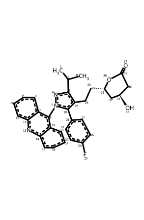 CC(C)c1nn(-c2c3ccccc3nc3ccccc23)c(-c2ccc(F)cc2)c1CC[C@H]1C[C@H](O)CC(=O)O1